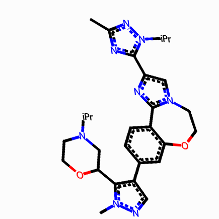 Cc1nc(-c2cn3c(n2)-c2ccc(-c4cnn(C)c4C4CN(C(C)C)CCO4)cc2OCC3)n(C(C)C)n1